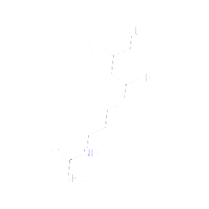 CCCCC(=O)NCCCOC(CC(CC(C)(C)C)C(=O)O)C(C)(C)C